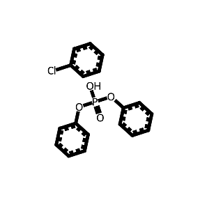 Clc1ccccc1.O=P(O)(Oc1ccccc1)Oc1ccccc1